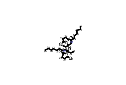 CCCCCC/C=C/C(CC)([N]C(/C=C/CCCCCC)(CC)N1C(=O)CCC1=O)N1C(=O)CCC1=O